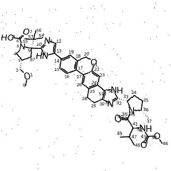 COC[C@@H]1CN(C(=O)O)[C@](c2ncc(-c3ccc4c(c3)COc3cc5c(cc3-4)CCc3nc([C@@H]4CC[C@H](C)N4C(=O)[C@@H](NC(=O)OC)C(C)C)[nH]c3-5)[nH]2)(C(C)(C)C)C1